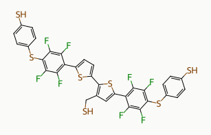 Fc1c(F)c(-c2ccc(-c3sc(-c4c(F)c(F)c(Sc5ccc(S)cc5)c(F)c4F)cc3CS)s2)c(F)c(F)c1Sc1ccc(S)cc1